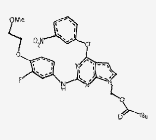 COCCOc1ccc(Nc2nc(Oc3cccc([N+](=O)[O-])c3)c3ccn(COC(=O)C(C)(C)C)c3n2)cc1F